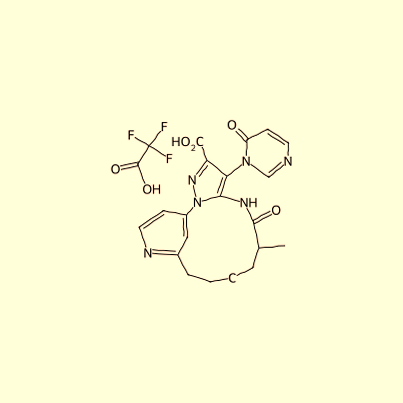 CC1CCCCc2cc(ccn2)-n2nc(C(=O)O)c(-n3cnccc3=O)c2NC1=O.O=C(O)C(F)(F)F